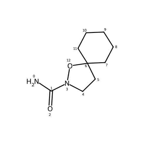 NC(=O)N1CCC2(CCCCC2)O1